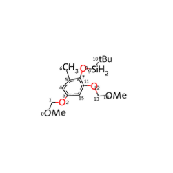 COCOc1cc(C)c(O[SiH2]C(C)(C)C)c(OCOC)c1